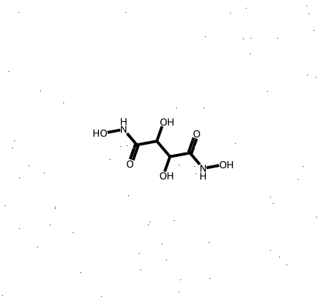 O=C(NO)C(O)C(O)C(=O)NO